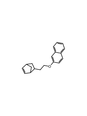 C1=CC2CC1CC2CCOc1ccc2ccccc2c1